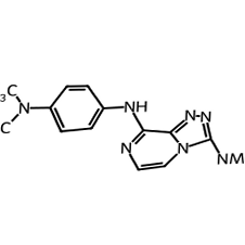 CNc1nnc2c(Nc3ccc(N(C)C)cc3)nccn12